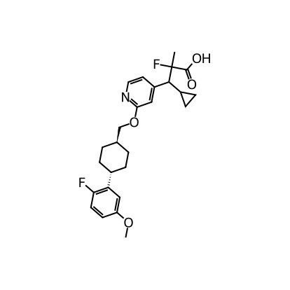 COc1ccc(F)c([C@H]2CC[C@H](COc3cc(C(C4CC4)C(C)(F)C(=O)O)ccn3)CC2)c1